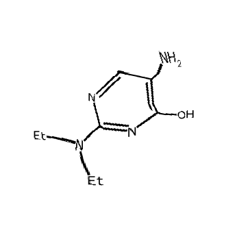 CCN(CC)c1ncc(N)c(O)n1